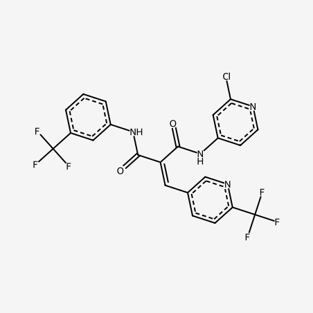 O=C(Nc1cccc(C(F)(F)F)c1)C(=Cc1ccc(C(F)(F)F)nc1)C(=O)Nc1ccnc(Cl)c1